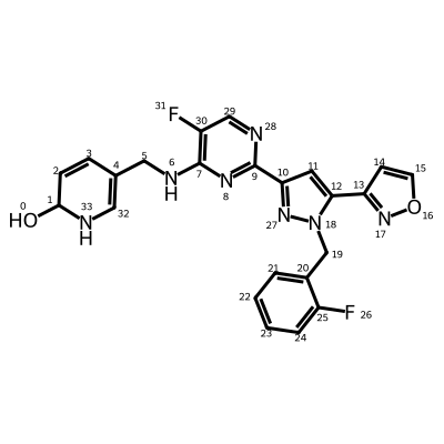 OC1C=CC(CNc2nc(-c3cc(-c4ccon4)n(Cc4ccccc4F)n3)ncc2F)=CN1